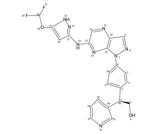 OC[C@H](c1ccc(-n2ncc3ncc(Nc4cc(OC(F)F)[nH]n4)nc32)cc1)c1cccnc1